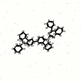 c1ccc(-c2nc(-n3c4ccc(-c5ccc6c(c5)c5ccccc5n6-c5ccccc5)cc4c4ncccc43)nc3ccccc23)cc1